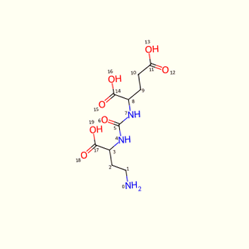 NCCC(NC(=O)NC(CCC(=O)O)C(=O)O)C(=O)O